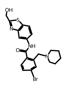 O=C(Nc1ccc2sc(CO)nc2c1)c1ccc(Br)cc1CN1CCCCC1